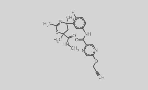 C#CCOc1cnc(C(=O)Nc2ccc(F)c([C@]3(C)C[C@](C)(C(=O)NC)SC(N)=N3)c2)cn1